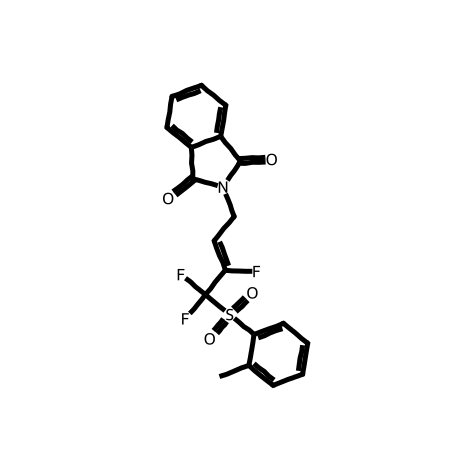 Cc1ccccc1S(=O)(=O)C(F)(F)C(F)=CCN1C(=O)c2ccccc2C1=O